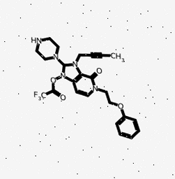 CC#CCN1c2c(ccn(CCOc3ccccc3)c2=O)N(OC(=O)C(F)(F)F)C1N1CCNCC1